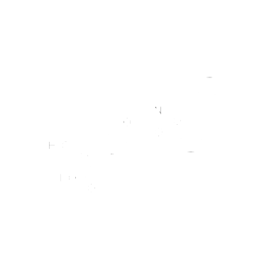 CCOC(Cc1ccc(OCCN(CCCc2ccccc2)C(=O)Oc2ccccc2F)cc1)C(=O)O